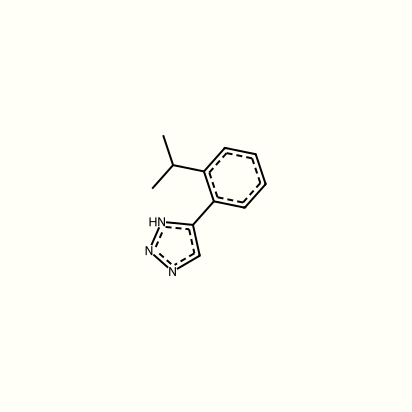 CC(C)c1ccccc1-c1cnn[nH]1